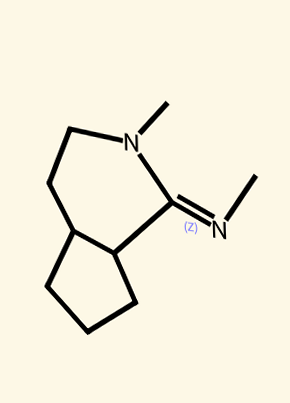 C/N=C1/C2CCCC2CCN1C